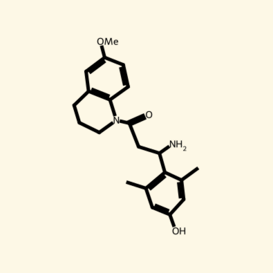 COc1ccc2c(c1)CCCN2C(=O)CC(N)c1c(C)cc(O)cc1C